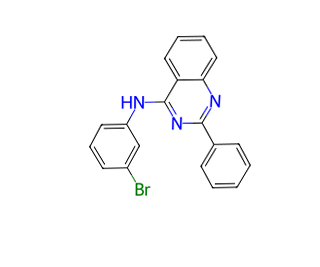 Brc1cccc(Nc2nc(-c3ccccc3)nc3ccccc23)c1